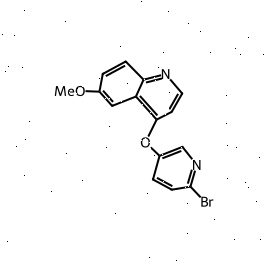 COc1ccc2nccc(Oc3ccc(Br)nc3)c2c1